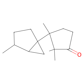 CC1CCC2(C3(C)CCC(=O)C3(C)C)CC12